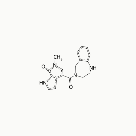 Cn1cc(C(=O)N2CCNc3ccccc3C2)c2cc[nH]c2c1=O